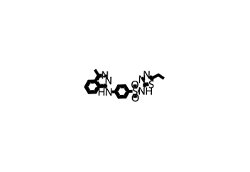 CCc1nnc(NS(=O)(=O)c2ccc(Nc3nnc(C)c4ccccc34)cc2)s1